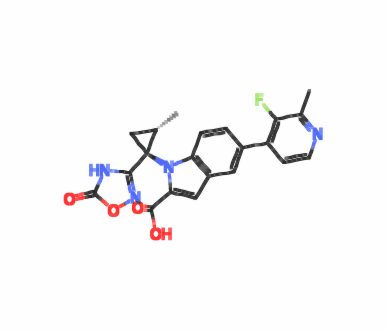 Cc1nccc(-c2ccc3c(c2)cc(C(=O)O)n3[C@@]2(c3noc(=O)[nH]3)C[C@@H]2C)c1F